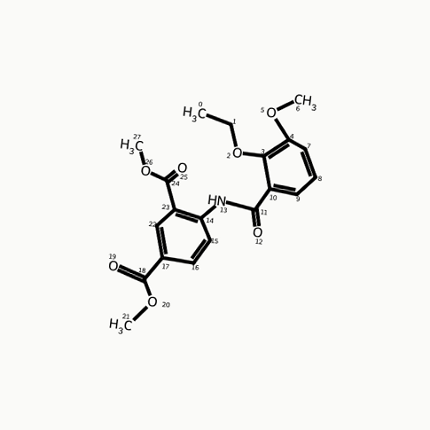 CCOc1c(OC)cccc1C(=O)Nc1ccc(C(=O)OC)cc1C(=O)OC